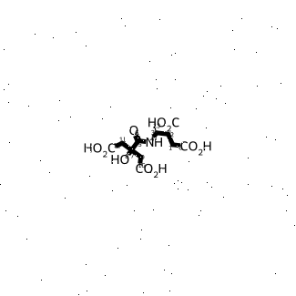 O=C(O)CC[C@H](NC(=O)C(O)(CC(=O)O)CC(=O)O)C(=O)O